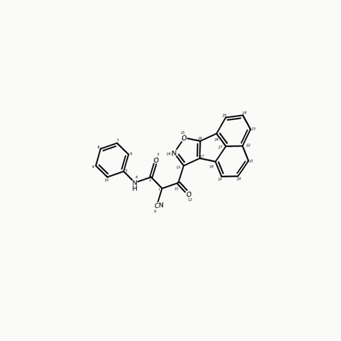 N#CC(C(=O)Nc1ccccc1)C(=O)c1noc2c1-c1cccc3cccc-2c13